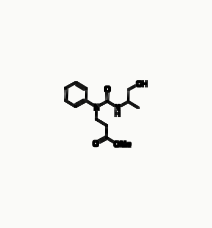 COC(=O)CCN(C(=O)NC(C)CO)c1ccccc1